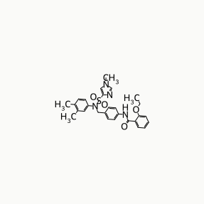 CCOc1ccccc1C(=O)Nc1ccc(CN(c2ccc(C)c(C)c2)S(=O)(=O)c2cn(C)cn2)cc1